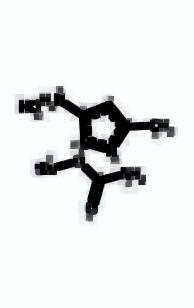 CC(C)(C)OC(N)=O.Cc1cc(N)sn1.Cl